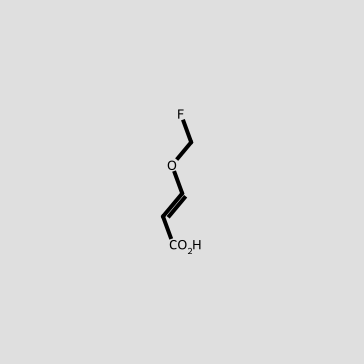 O=C(O)C=COCF